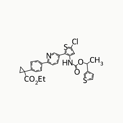 CCOC(=O)C1(c2ccc(-c3ccc(-c4sc(Cl)cc4NC(=O)OC(C)c4ccsc4)cn3)cc2)CC1